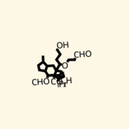 CC(C)C1=CC2CC3(C=O)C4CCC(C)C4CC2(C(CCCO)OCCC=O)C13C(=O)O